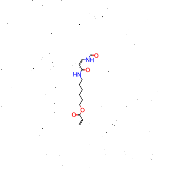 C=CC(=O)OCCCCCCNC(=O)/C=C\NC=O